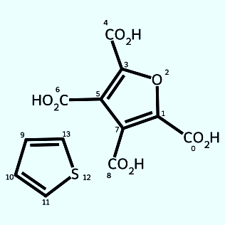 O=C(O)c1oc(C(=O)O)c(C(=O)O)c1C(=O)O.c1ccsc1